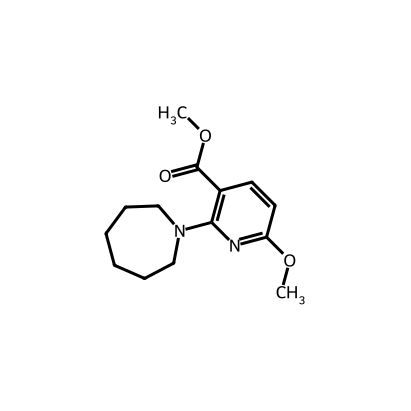 COC(=O)c1ccc(OC)nc1N1CCCCCC1